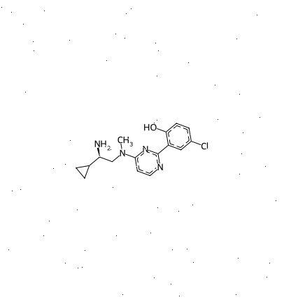 CN(C[C@H](N)C1CC1)c1ccnc(-c2cc(Cl)ccc2O)n1